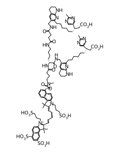 Cc1ncc([C@@H](CCCCCCc2nc3c(cc2CNC(=O)CCC(=O)NCCCC[C@@H](NC(=O)CCCN(C)S(=O)(=O)c2cccc4c5c(ccc24)N(CCCS(=O)(=O)O)\C(=C/C=C\C=C\C2=[N+](CCCS(=O)(=O)O)c4ccc6c(S(=O)(=O)O)cc(S(=O)(=O)O)cc6c4C2(C)C)C5(C)C)C(=O)NCc2cc4c(nc2CCCCCC[C@@H](CC(=O)O)c2cnc(C)nc2)NCCC4)CCCN3)CC(=O)O)cn1